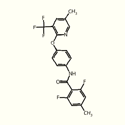 Cc1cc(F)c(C(=O)Nc2ccc(Oc3ncc(C)cc3C(F)(F)F)cc2)c(F)c1